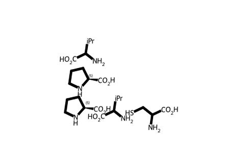 CC(C)C(N)C(=O)O.CC(C)C(N)C(=O)O.NC(CS)C(=O)O.O=C(O)[C@@H]1CCCN1.O=C(O)[C@@H]1CCCN1